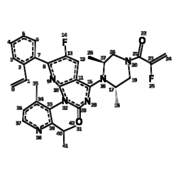 C=Cc1ccccc1-c1nc2c(cc1F)c(N1[C@@H](C)CN(C(=O)C(=C)F)C[C@@H]1C)nc(=O)n2-c1c(C)ccnc1C(C)C